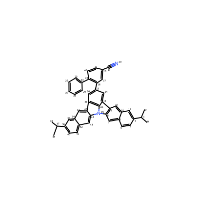 CC(C)c1ccc2cc3c(cc2c1)c1cc(-c2cc(C#N)ccc2-c2ccccc2)cc2c4cc5cc(C(C)C)ccc5cc4n3c12